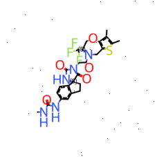 CNC(=O)Nc1ccc2c(c1)CC[C@]21NC(=O)N(CC(=O)N2Cc3sc(C)c(C)c3OC[C@H]2C(F)(F)F)C1=O